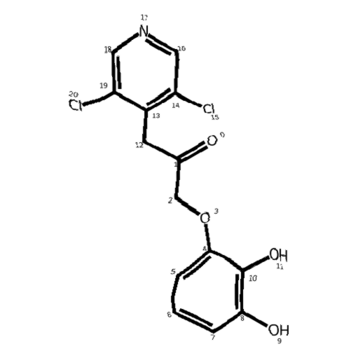 O=C(COc1cccc(O)c1O)Cc1c(Cl)cncc1Cl